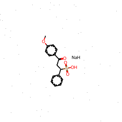 COc1ccc(C(=O)CC(c2ccccc2)S(=O)(=O)O)cc1.[NaH]